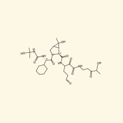 CC(O)C(=O)CCNC(=O)C(=O)C(CCC=O)NC(=O)[C@@H]1C2C(CN1C(=O)[C@@H](NC(=O)NC(C)(C)O)C1CCCCC1)C2(C)O